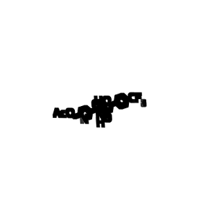 CC(=O)OCc1ccc(C(=O)NS(=O)(=O)CC(O)c2ccc(C(F)(F)F)cc2)cn1